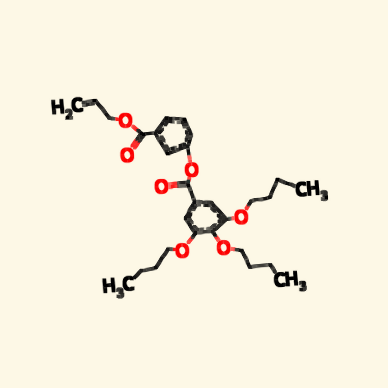 C=CCOC(=O)c1cccc(OC(=O)c2cc(OCCCC)c(OCCCC)c(OCCCC)c2)c1